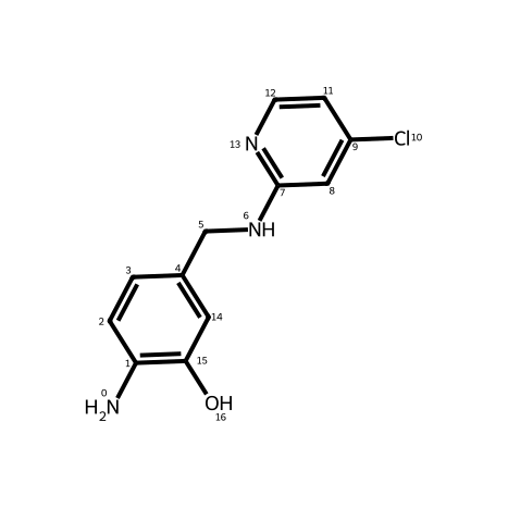 Nc1ccc(CNc2cc(Cl)ccn2)cc1O